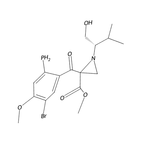 COC(=O)C1(C(=O)c2cc(Br)c(OC)cc2P)CN1[C@H](CO)C(C)C